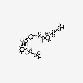 C=C(C)C(=O)OCCOC(=O)NC1CC(C)(C)CC(C)(CNC(=O)OCC2CCC(COC(=O)NCC3(C)CC(NC(=O)OCCOC(=O)C(=C)C)CC(C)(C)C3)CC2)C1